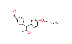 CCCCCOc1ccc(C(C(C)=O)c2ccc(C=O)cc2)cc1